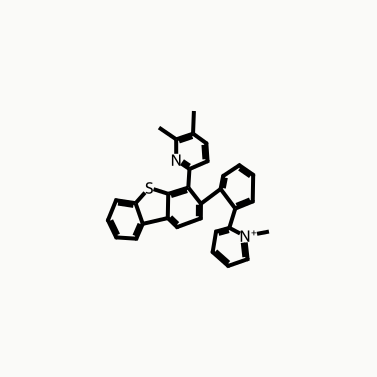 Cc1ccc(-c2c(-c3ccccc3-c3cccc[n+]3C)ccc3c2sc2ccccc23)nc1C